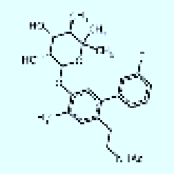 CC(=O)NCCc1cc(C)c(OC2OC(C)(C)[C@H](C)[C@@H](O)[C@H]2O)cc1-c1cccc(F)c1